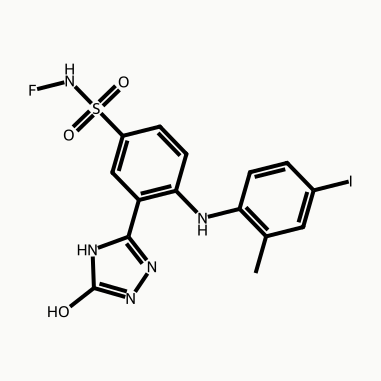 Cc1cc(I)ccc1Nc1ccc(S(=O)(=O)NF)cc1-c1nnc(O)[nH]1